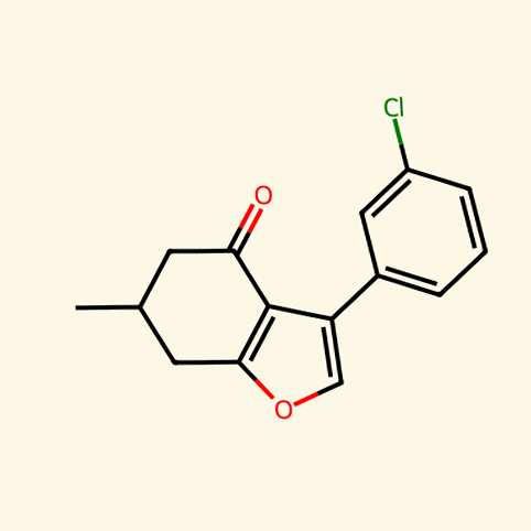 CC1CC(=O)c2c(-c3cccc(Cl)c3)coc2C1